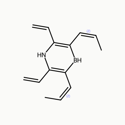 C=CC1=C(/C=C\C)BC(/C=C\C)=C(C=C)N1